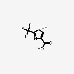 O=C(O)c1csc(C(F)(F)F)n1.[LiH]